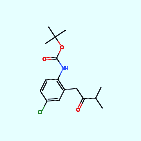 CC(C)C(=O)Cc1cc(Cl)ccc1NC(=O)OC(C)(C)C